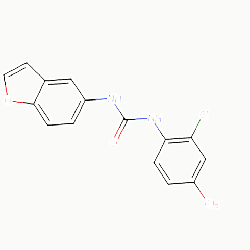 O=C(Nc1ccc2occc2c1)Nc1ccc(O)cc1Cl